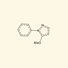 COc1c[c]nn1-c1ccccc1